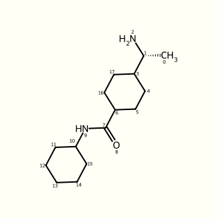 C[C@@H](N)C1CCC(C(=O)NC2CCCCC2)CC1